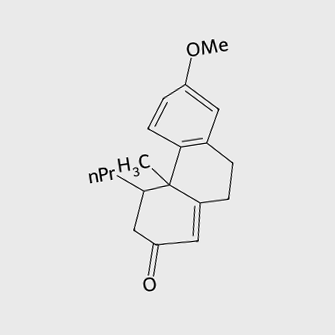 CCCC1CC(=O)C=C2CCc3cc(OC)ccc3C21C